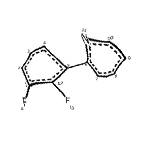 Fc1cccc(-c2cc[c]cn2)c1F